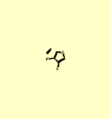 C=C.Fc1cscc1F